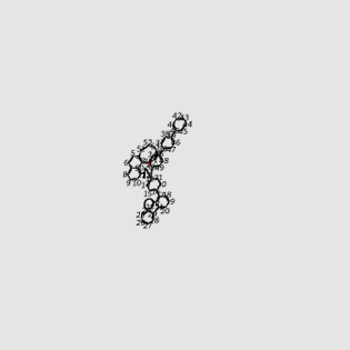 C1#CCc2c(ccc3cccc(N(C4=CC=C(c5cccc6c5oc5ccccc56)CC4)c4ccc(-c5ccc(-c6ccccc6)cc5)cc4)c23)/C=C\C1